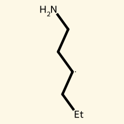 CCC[CH]CCN